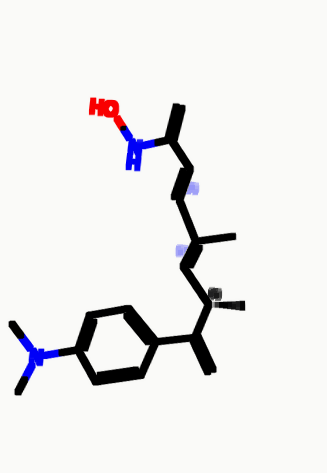 C=C(/C=C/C(C)=C/[C@H](C)C(=C)c1ccc(N(C)C)cc1)NO